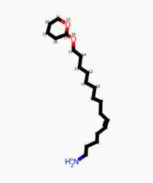 NCCCC/C=C\CCCCCCCCCOC1CCCCO1